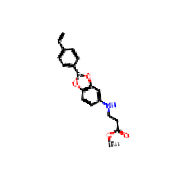 C=Cc1ccc(B2Oc3ccc(NCCC(=O)OC(C)(C)C)cc3O2)cc1